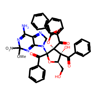 COC1([N+](=O)[O-])N=C(N)C2=NCN([C@]3(C(=O)c4ccccc4)O[C@H](CO)[C@](O)(C(=O)c4ccccc4)[C@]3(OC(=O)c3ccccc3)C(=O)c3ccccc3)C2=N1